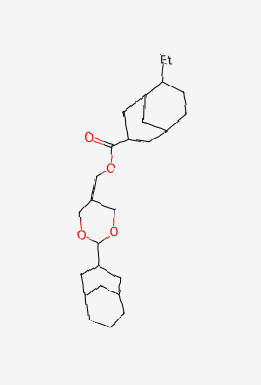 CCC1CCC2CC(C(=O)OCC3COC(C4CC5CCCC(C5)C4)OC3)CC1C2